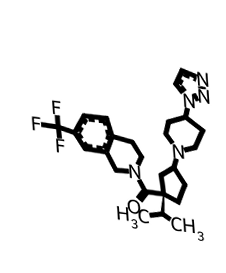 CC(C)[C@]1(C(=O)N2CCc3ccc(C(F)(F)F)cc3C2)CCC(N2CCC(n3ccnn3)CC2)C1